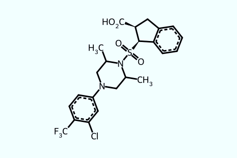 CC1CN(c2ccc(C(F)(F)F)c(Cl)c2)CC(C)N1S(=O)(=O)[C@@H]1c2ccccc2C[C@@H]1C(=O)O